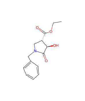 CCOC(=O)[C@H]1CN(Cc2ccccc2)C(=O)[C@@H]1O